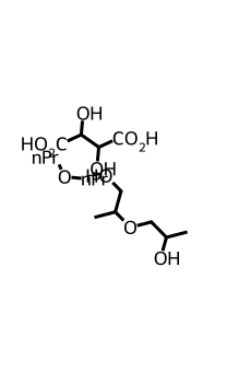 CC(O)COC(C)CO.CCCOCCC.O=C(O)C(O)C(O)C(=O)O